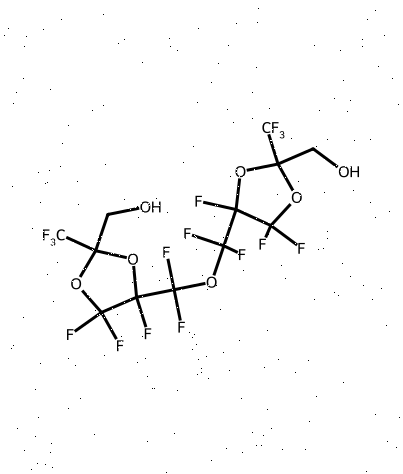 OCC1(C(F)(F)F)OC(F)(F)C(F)(C(F)(F)OC(F)(F)C2(F)OC(CO)(C(F)(F)F)OC2(F)F)O1